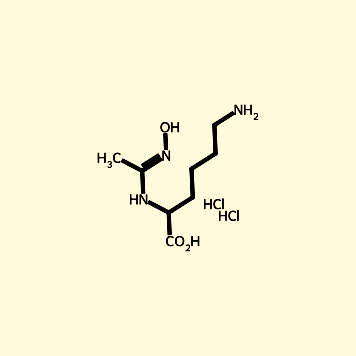 CC(=NO)NC(CCCCN)C(=O)O.Cl.Cl